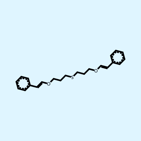 C(=Cc1ccccc1)OCCCSCCCOC=Cc1ccccc1